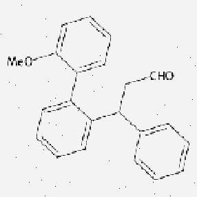 COc1ccccc1-c1ccccc1C(CC=O)c1ccccc1